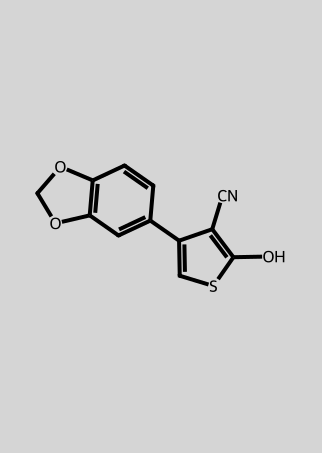 N#Cc1c(-c2ccc3c(c2)OCO3)csc1O